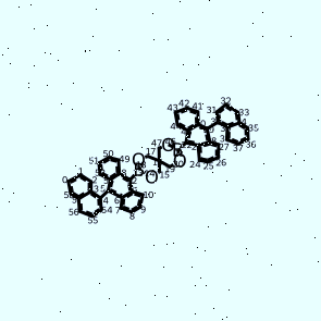 c1ccc2c(-c3c4ccccc4c(B4OCC5(CO4)COB(c4c6ccccc6c(-c6cccc7ccccc67)c6ccccc46)OC5)c4ccccc34)cccc2c1